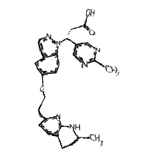 Cc1ncc([C@@H](CC(=O)O)n2ncc3cc(OCCc4ccc5c(n4)N[C@@H](C)CC5)ccc32)cn1